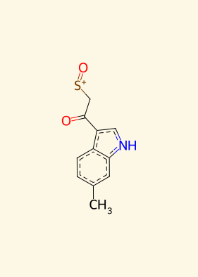 Cc1ccc2c(C(=O)C[S+]=O)c[nH]c2c1